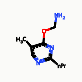 CCCc1ncc(C)c(OCN)n1